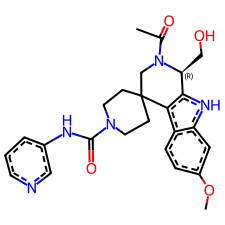 COc1ccc2c3c([nH]c2c1)[C@H](CO)N(C(C)=O)CC31CCN(C(=O)Nc2cccnc2)CC1